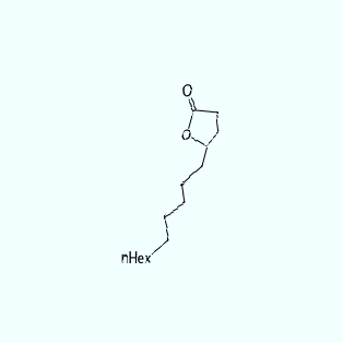 CCCCCCCCCCCC1CCC(=O)O1